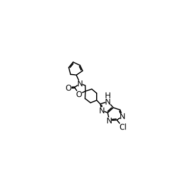 O=C1OC2(CCC(c3nc4nc(Cl)ncc4[nH]3)CC2)CN1C1C=CC=CC1